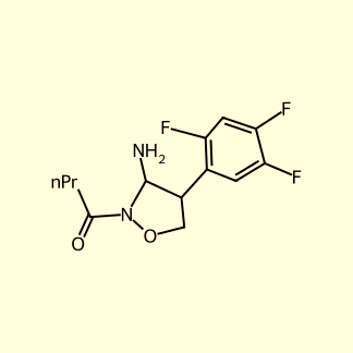 CCCC(=O)N1OCC(c2cc(F)c(F)cc2F)C1N